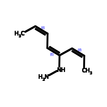 C\C=C/C=C(\C=C/C)NN